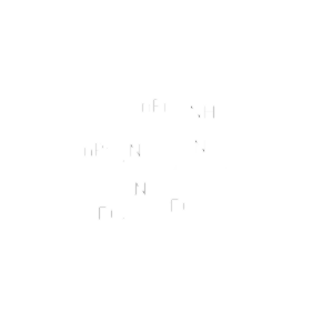 CCCNN(C)C.CCCNN(CC)CC